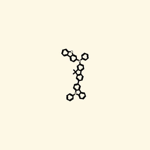 CC1(C)c2cc(-c3ccc4c(c3)c3ccccc3n4-c3ccccc3)ccc2-c2ccc(N(c3ccccc3)c3ccc4c(c3)oc3ccccc34)cc21